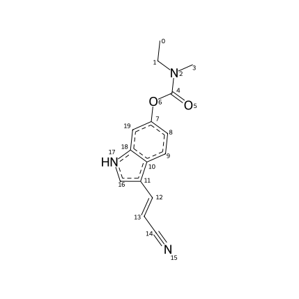 CCN(C)C(=O)Oc1ccc2c(C=CC#N)c[nH]c2c1